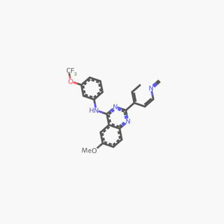 C=N/C=C\C(=C/C)c1nc(Nc2cccc(OC(F)(F)F)c2)c2cc(OC)ccc2n1